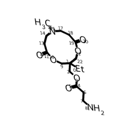 CCC1(COC(=O)CCN)COC(=O)CCN(C)CCC(=O)OC1